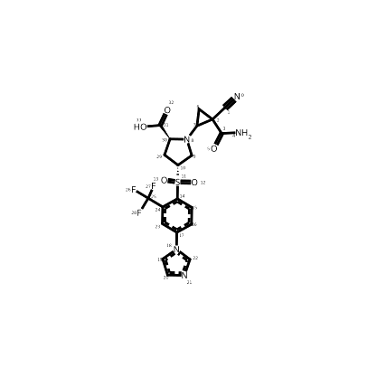 N#CC1(C(N)=O)CC1N1C[C@H](S(=O)(=O)c2ccc(-n3ccnc3)cc2C(F)(F)F)C[C@H]1C(=O)O